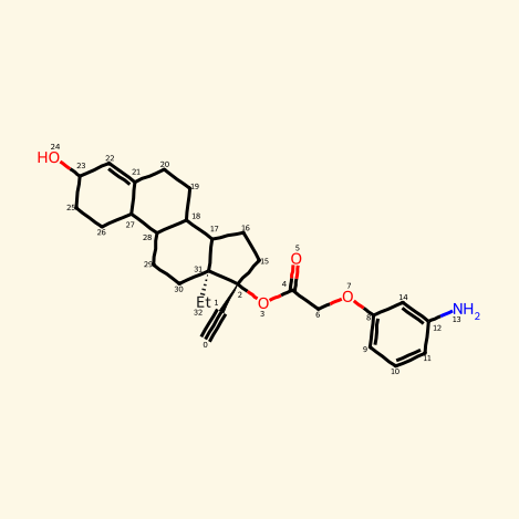 C#C[C@]1(OC(=O)COc2cccc(N)c2)CCC2C3CCC4=CC(O)CCC4C3CC[C@@]21CC